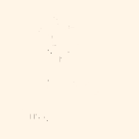 CCC(C)(C)c1ccc(OCCCC(=O)c2ccc(Cl)c(NN)c2)c(C(C)(C)CC)c1.Cn1cnc2ccccc2c1=O.O=C(O)CBr